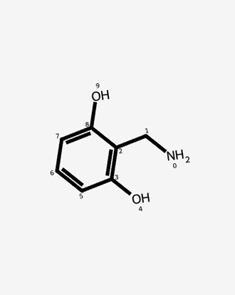 NCc1c(O)[c]ccc1O